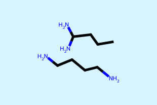 CCCC(N)N.NCCCCN